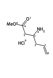 C=CCC(N)CC(=O)OC.Cl